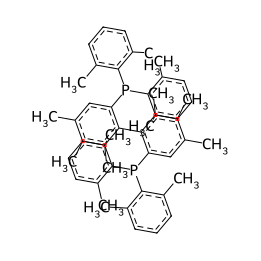 Cc1cc(P(c2c(C)cccc2C)c2c(C)cccc2C)c(-c2c(P(c3c(C)cccc3C)c3c(C)cccc3C)cc(C)c(C)c2C)c(C)c1C